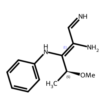 CO[C@@H](C)/C(Nc1ccccc1)=C(\N)C=N